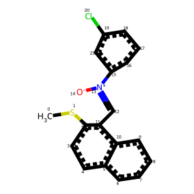 CSc1ccc2ccccc2c1C=[N+]([O-])c1cccc(Cl)c1